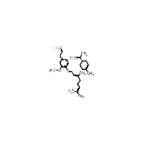 C=C(C)[C@H]1CC=C(C)CC1.C=CCc1ccc(OC/C=C(\C)CCC=C(C)C)c(OC)c1